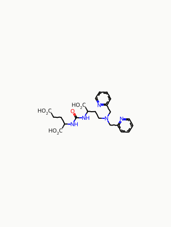 O=C(O)CCC(NC(=O)NC(CCN(Cc1ccccn1)Cc1ccccn1)C(=O)O)C(=O)O